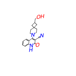 N#Cc1c(N2CCC3(CC2)CC(CO)C3)c2ccccc2[nH]c1=O